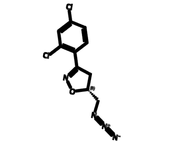 [N-]=[N+]=NC[C@H]1CC(c2ccc(Cl)cc2Cl)=NO1